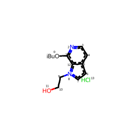 CC(C)COc1nccc2ccn(CCO)c12.Cl